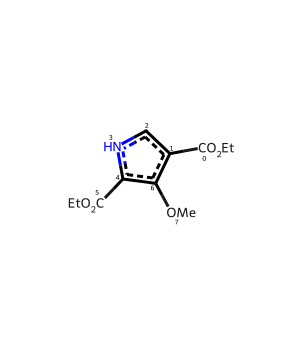 CCOC(=O)c1c[nH]c(C(=O)OCC)c1OC